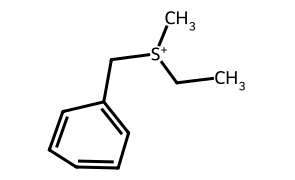 CC[S+](C)Cc1ccccc1